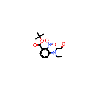 CCN(CC=O)c1cccc(C(=O)OC(C)(C)C)c1[N+](=O)[O-]